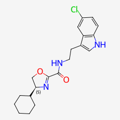 O=C(NCCc1c[nH]c2ccc(Cl)cc12)C1=N[C@@H](C2CCCCC2)CO1